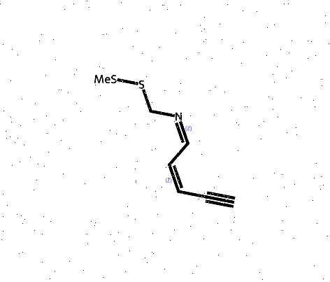 C#C/C=C\C=N/CSSC